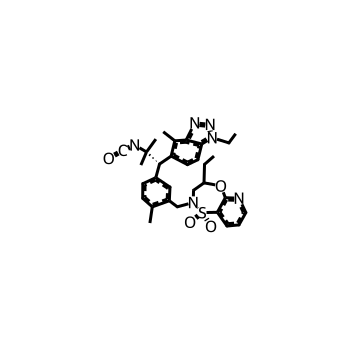 CCC1CN(Cc2cc([C@@H](c3ccc4c(nnn4CC)c3C)C(C)(C)N=C=O)ccc2C)S(=O)(=O)c2cccnc2O1